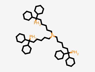 PC(CCCCCP(CCCCCC(P)(C1CCCCC1)C1CCCCC1)CCCCCC(P)(C1CCCCC1)C1CCCCC1)(C1CCCCC1)C1CCCCC1